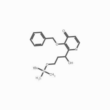 CC(C)(C)[Si](C)(C)OCCC(O)C1=C(OCc2ccccc2)C(=O)C=C[N]1